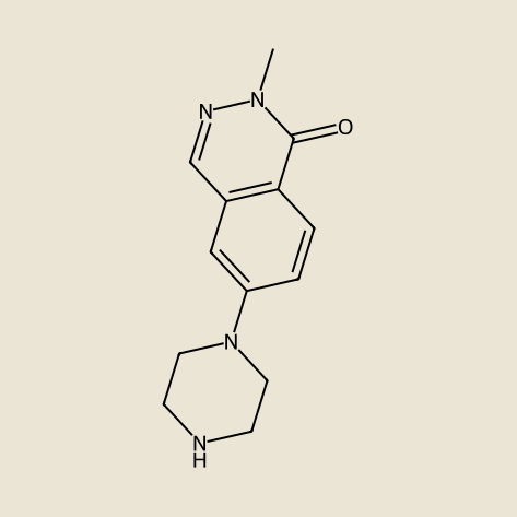 Cn1ncc2cc(N3CCNCC3)ccc2c1=O